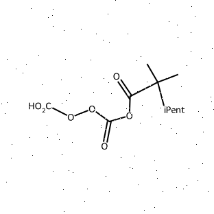 CCCC(C)C(C)(C)C(=O)OC(=O)OOC(=O)O